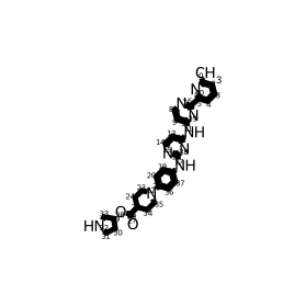 Cc1cccc(-c2nccc(Nc3ccnc(Nc4ccc(N5CCC(C(=O)O[C@@H]6CCNC6)CC5)cc4)n3)n2)n1